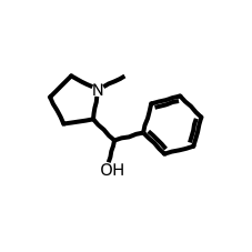 CN1CCCC1C(O)c1ccccc1